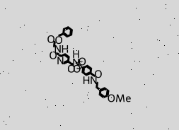 COc1ccc(CCNC(=O)c2ccc(S(=O)(=O)NC(=O)c3ccc(C(=O)NCC(=O)OCc4ccccc4)nc3)cc2)cc1